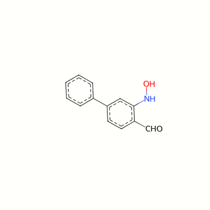 O=Cc1ccc(-c2ccccc2)cc1NO